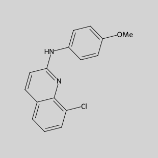 COc1ccc(Nc2ccc3cccc(Cl)c3n2)cc1